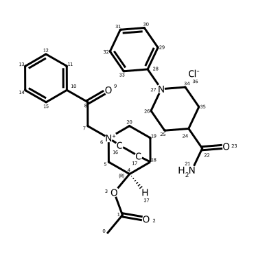 CC(=O)O[C@H]1C[N+]2(CC(=O)c3ccccc3)CCC1CC2.NC(=O)C1CCN(c2ccccc2)CC1.[Cl-]